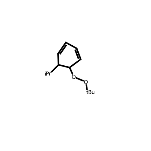 CC(C)C1C=CC=CC1OOC(C)(C)C